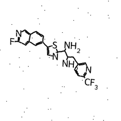 NC(Cc1ccc(C(F)(F)F)nc1)C(N)c1ncc(-c2ccc3cnc(F)cc3c2)s1